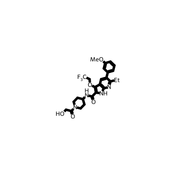 CCc1nc2[nH]c(C(=O)NC3CCN(C(=O)CO)CC3)c(OCC(F)(F)F)c2cc1-c1cccc(OC)c1